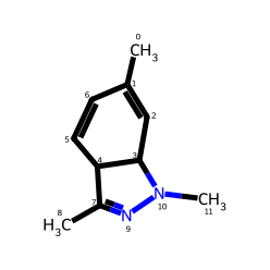 CC1=CC2C(C=C1)C(C)=NN2C